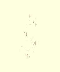 COc1ccc2ncc(CF)c([C@H](F)CCC3(CC(=O)O)CCN(CCOc4cc(F)c(F)c(F)c4)CC3)c2c1